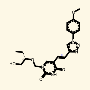 CC[C@@H](CO)OCn1cc(/C=C/c2cn(-c3ccc(OC)cc3)nn2)c(=O)[nH]c1=O